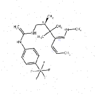 C=C(NC[C@@H](C)C(C)(C)C(/C=C\C)=N\NC)Nc1ccc(S(F)(F)(F)(F)F)cc1